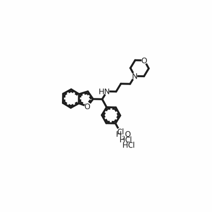 Cl.Cl.Clc1ccc(C(NCCCN2CCOCC2)c2cc3ccccc3o2)cc1.O